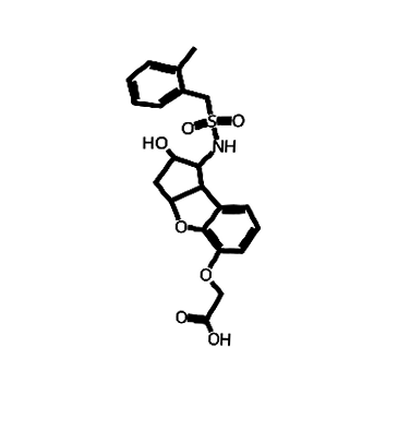 Cc1ccccc1CS(=O)(=O)NC1C(O)CC2Oc3c(OCC(=O)O)cccc3C21